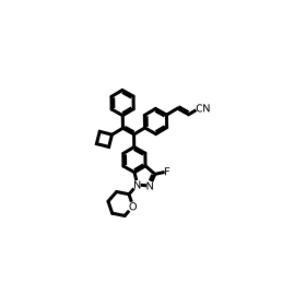 N#CC=Cc1ccc(C(=C(c2ccccc2)C2CCC2)c2ccc3c(c2)c(F)nn3C2CCCCO2)cc1